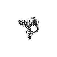 Cc1ccc2oc3c(O[C@@H]4C[C@H]5C(=O)N[C@]6(C(=O)NS(=O)(=O)C7CC7)C[C@H]6/C=C\CCCCC[C@H](NC(=O)OC6CCCC6)C(=O)N5C4)nc(C(F)(F)F)nc3c2c1